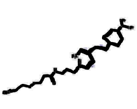 C/C=C(\C=C/NCCCNC(=O)CCSSCCC=O)/C=C/C1C=CC(N(CCC)CCC)=CC1